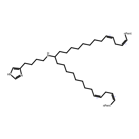 CCCCC/C=C\C/C=C\CCCCCCCCC(CCCCCCCC/C=C\C/C=C\CCCCC)NCCCCc1c[nH]cn1